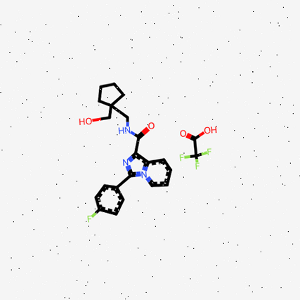 O=C(NCC1(CO)CCCC1)c1nc(-c2ccc(F)cc2)n2ccccc12.O=C(O)C(F)(F)F